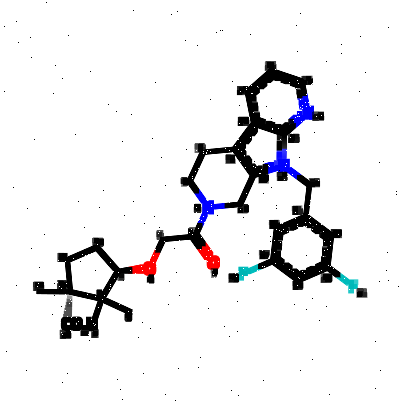 CC1(C)[C@H](OCC(=O)N2CCc3c(n(Cc4cc(F)cc(F)c4)c4ncccc34)C2)CC[C@@]1(C)C(=O)O